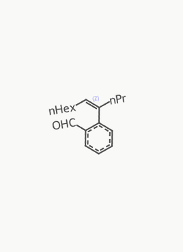 CCCCCC/C=C(/CCC)c1ccccc1C=O